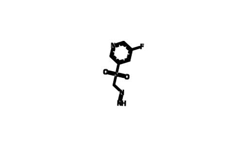 N=NCS(=O)(=O)c1cncc(F)c1